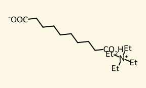 CC[N+](CC)(CC)CC.O=C([O-])CCCCCCCCC(=O)O